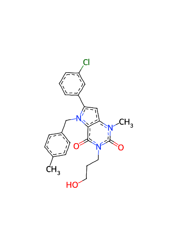 Cc1ccc(Cn2c(-c3cccc(Cl)c3)cc3c2c(=O)n(CCCO)c(=O)n3C)cc1